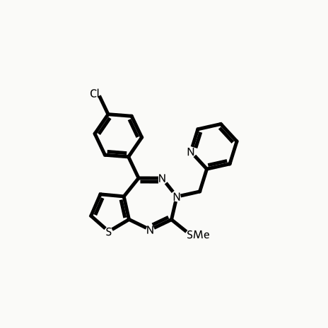 CSC1=Nc2sccc2C(c2ccc(Cl)cc2)=NN1Cc1ccccn1